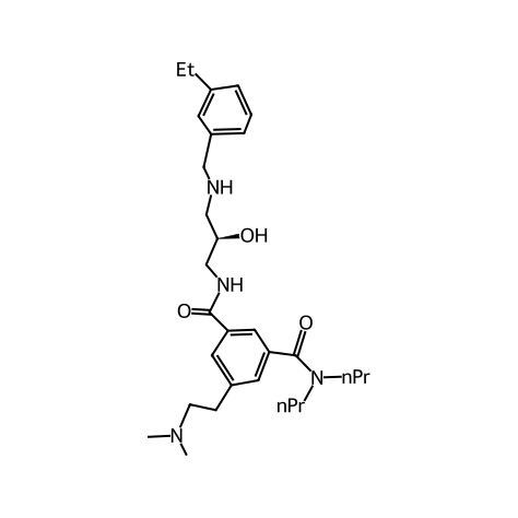 CCCN(CCC)C(=O)c1cc(CCN(C)C)cc(C(=O)NC[C@H](O)CNCc2cccc(CC)c2)c1